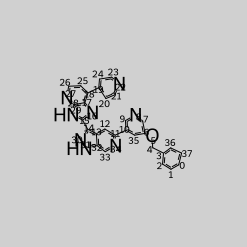 c1ccc(COc2cncc(-c3cc4c(-c5nc6c(-c7ccncc7)ccnc6[nH]5)n[nH]c4cn3)c2)cc1